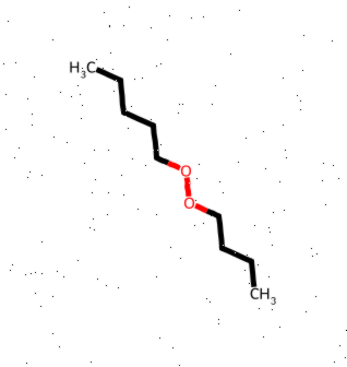 CCCCCOOCCCC